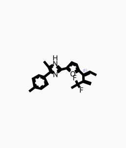 C=C(/C(=C\C)c1ccc(-c2nc(-c3ccc(C)cc3)c(C)[nH]2)o1)C(C)(F)F